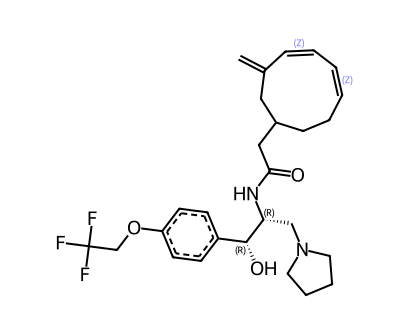 C=C1/C=C\C=C/CCC(CC(=O)N[C@H](CN2CCCC2)[C@H](O)c2ccc(OCC(F)(F)F)cc2)C1